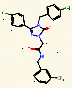 O=C(Cn1nc(-c2ccc(Cl)cc2)n(Cc2ccc(Cl)cc2)c1=O)NCc1cccc(C(F)(F)F)c1